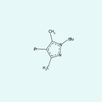 Cc1nn(C(C)(C)C)c(C)c1C(C)C